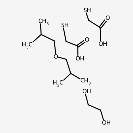 CC(C)COCC(C)C.O=C(O)CS.O=C(O)CS.OCCO